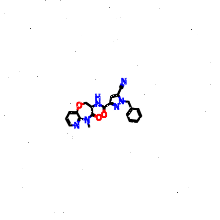 CN1C(=O)C(NC(=O)c2cc(C#N)n(Cc3ccccc3)n2)COc2cccnc21